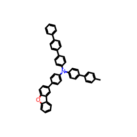 Cc1ccc(-c2ccc(N(c3ccc(-c4ccc(-c5ccccc5)cc4)cc3)c3ccc(-c4ccc5oc6ccccc6c5c4)cc3)cc2)cc1